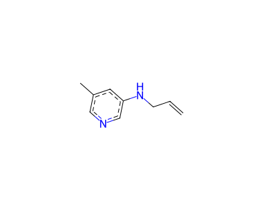 C=CCNc1cncc(C)c1